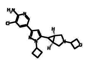 Nc1ncc(-c2cc(C3[C@H]4CN(C5COC5)C[C@@H]34)n(C3CCC3)n2)cc1Cl